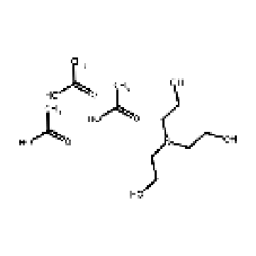 CC(=O)O.CC(=O)O.CC(=O)O.OCCN(CCO)CCO